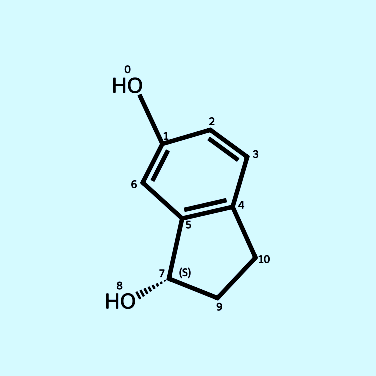 Oc1ccc2c(c1)[C@@H](O)CC2